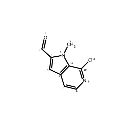 Cn1c(C=O)cc2ccnc(Cl)c21